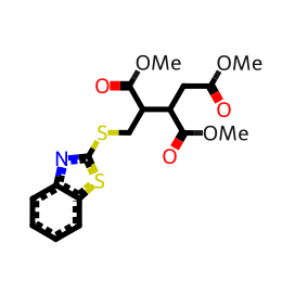 COC(=O)CC(C(=O)OC)C(CSc1nc2ccccc2s1)C(=O)OC